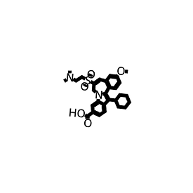 COc1ccc2c(c1)C=C(S(=O)(=O)CCN(C)C)Cn1c-2c(C2CCCCC2)c2ccc(C(=O)O)cc21